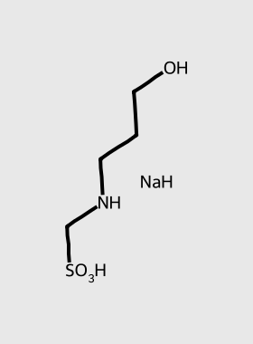 O=S(=O)(O)CNCCCO.[NaH]